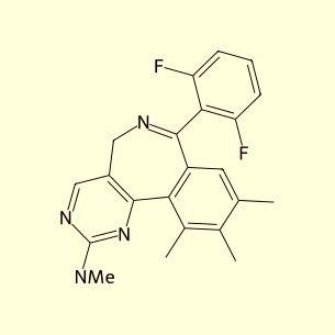 CNc1ncc2c(n1)-c1c(cc(C)c(C)c1C)C(c1c(F)cccc1F)=NC2